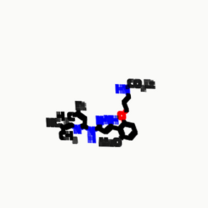 CCOC(=O)NCCCOc1cccc(OC)c1-c1cc(NC(/C=C(\C)CC)=N/C=C(\C)C#N)n[nH]1